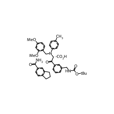 COc1ccc(CN(c2ccc(C)cc2)[C@H](C(=O)O)C(=O)c2cccc(CNC(=O)OC(C)(C)C)c2)c(OC)c1.NC(=O)c1ccc2c(c1)CCC2